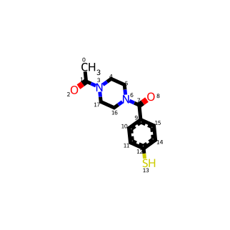 CC(=O)N1CCN(C(=O)c2ccc(S)cc2)CC1